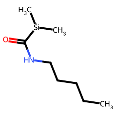 CCCCCNC(=O)[Si](C)C